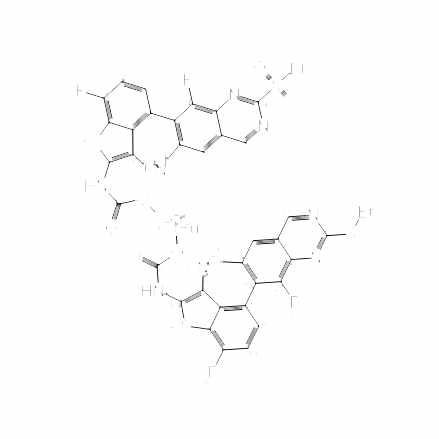 CCS(=O)(=O)c1ncc2cc(Cl)c(-c3ccc(F)c4sc(NC(=O)OC(C)(C)C)c(C#N)c34)c(F)c2n1.CCSc1ncc2cc(Cl)c(-c3ccc(F)c4sc(NC(=O)OC(C)(C)C)c(C#N)c34)c(F)c2n1